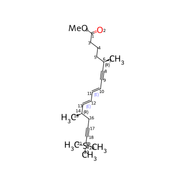 COC(=O)CCC[C@@H](C)C#C/C=C/C=C/[C@H](C)CC#C[Si](C)(C)C